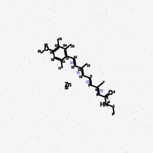 CCNC(=O)/C=C(C)/C=C/C=C(C)/C=C/c1c(C)cc(OC)c(C)c1C.[Zn]